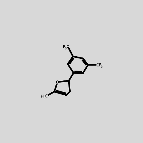 CC1=CCC(c2cc(C(F)(F)F)cc(C(F)(F)F)c2)O1